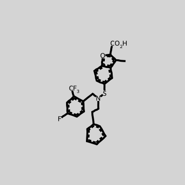 Cc1c(C(=O)O)oc2ccc(SN(CCc3ccccc3)Cc3ccc(F)cc3C(F)(F)F)cc12